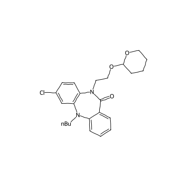 [CH2]CCCN1c2ccccc2C(=O)N(CCOC2CCCCO2)c2ccc(Cl)cc21